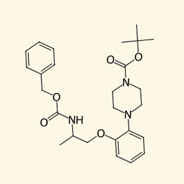 CC(COc1ccccc1N1CCN(C(=O)OC(C)(C)C)CC1)NC(=O)OCc1ccccc1